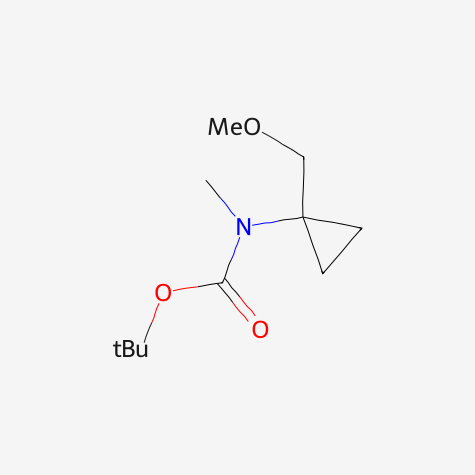 COCC1(N(C)C(=O)OC(C)(C)C)CC1